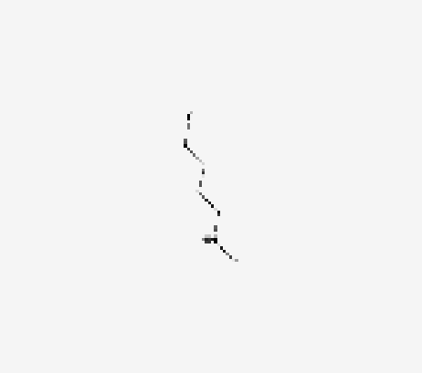 [CH2]NCCCCCl